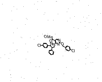 COC(=O)c1cnc(OCc2ccc(Cl)cc2)nc1N1CC(c2ccccc2)C(c2ccc(Cl)cc2)=N1